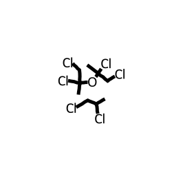 CC(Cl)(CCl)OC(C)(Cl)CCl.CC(Cl)CCl